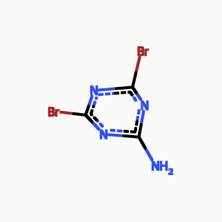 Nc1nc(Br)nc(Br)n1